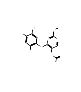 CSc1ncc(OC(=O)O)c(Nc2cc(C)c(C)cc2N)n1